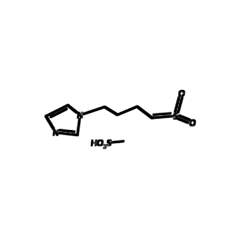 CS(=O)(=O)O.O=S(=O)=CCCCn1ccnc1